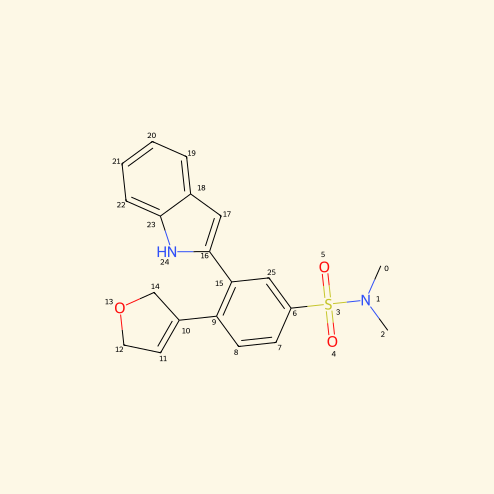 CN(C)S(=O)(=O)c1ccc(C2=CCOC2)c(-c2cc3ccccc3[nH]2)c1